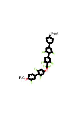 CCCCCc1ccc(-c2cc(F)c(-c3cc(F)c(C(F)(F)Oc4cc(F)c(-c5ccc(OC(F)(F)F)c(F)c5)c(F)c4)c(F)c3)c(F)c2)cc1